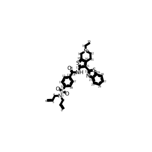 C=CCN(CC=C)S(=O)(=O)c1ccc(C(=O)Nc2sc3c(c2-c2nc4ccccc4s2)CCN(CC)C3)cc1